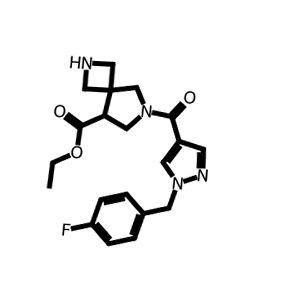 CCOC(=O)C1CN(C(=O)c2cnn(Cc3ccc(F)cc3)c2)CC12CNC2